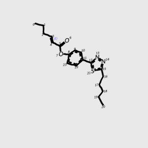 CCC/C=C/C(=O)Oc1ccc(-c2nnc(CCCCC)s2)cc1